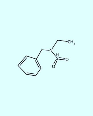 CCN(Cc1ccccc1)[SH](=O)=O